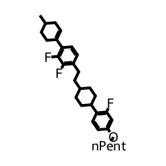 CCCCCOc1ccc(C2CCC(CCc3ccc(C4=CCC(C)CC4)c(F)c3F)CC2)c(F)c1